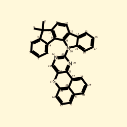 CC1(C)c2ccccc2-c2c1ccc1c3ccccc3n(-c3ncc4c(n3)-c3cccc5cccc(c35)S4)c21